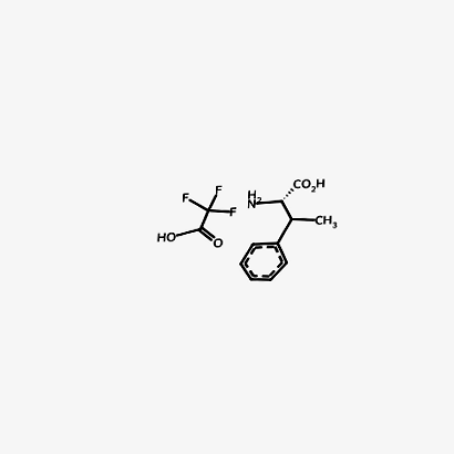 CC(c1ccccc1)[C@H](N)C(=O)O.O=C(O)C(F)(F)F